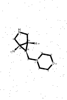 C1CN(C[C@H]2[C@@H]3CNC[C@@H]32)CCO1